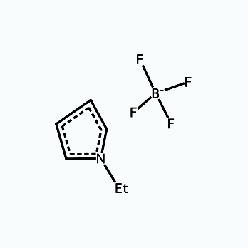 CCn1cccc1.F[B-](F)(F)F